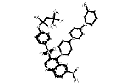 C[S+]([O-])c1ccc2ncc(S(=O)(=O)c3ccc(OC(C)(C)CC(C)(C)C)cc3)c(N3CCC(N4CCC(N5CCCC(O)C5)CC4)CC3)c2c1